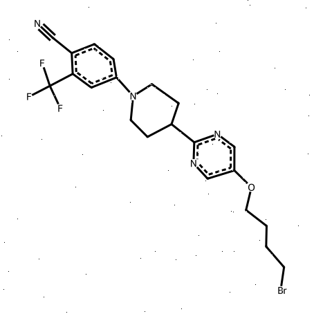 N#Cc1ccc(N2CCC(c3ncc(OCCCCBr)cn3)CC2)cc1C(F)(F)F